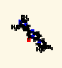 Cc1cn2cc(-c3cc(=O)n4cc(N5CCC(C)(C)CC5)ccc4n3)cc2c(C)n1